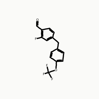 O=Cc1ccc(Cc2ccc(OC(F)(F)F)cc2)cc1F